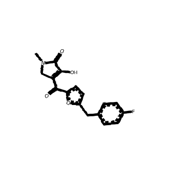 CN1CC(C(=O)c2ccc(Cc3ccc(F)cc3)o2)=C(O)C1=O